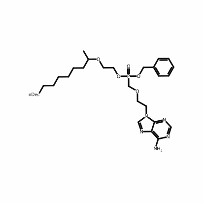 CCCCCCCCCCCCCCCCC(C)OCCOP(=O)(COCCn1cnc2c(N)ncnc21)OCc1ccccc1